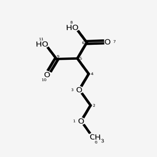 COCOCC(C(=O)O)C(=O)O